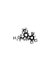 CC(F)(F)CC1CC2(Cc3c1[nH]c1c(Cl)c(Cl)cc(Br)c31)OCCO2